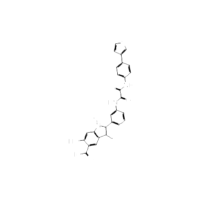 CN1c2cc(O)c(C(=O)O)cc2C(I)C1c1cccc(NC(=O)C(=O)Nc2ccc(-c3ccsc3)cc2)c1